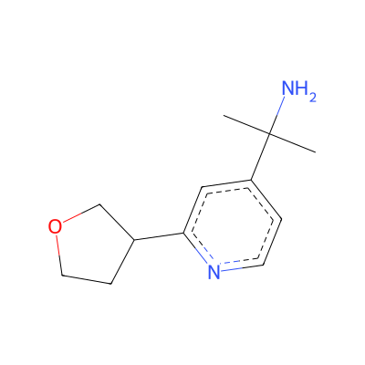 CC(C)(N)c1ccnc(C2CCOC2)c1